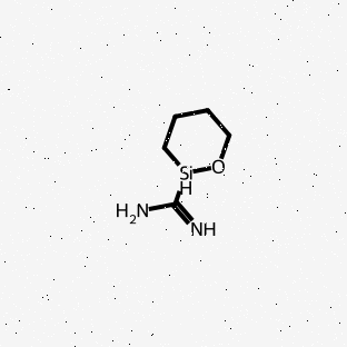 N=C(N)[SiH]1CCCCO1